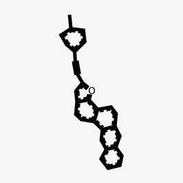 Cc1ccc(C#Cc2cc3ccc4c5cc6ccccc6cc5ccc4c3o2)cc1